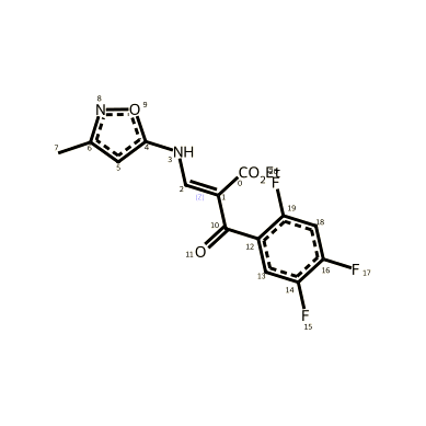 CCOC(=O)/C(=C\Nc1cc(C)no1)C(=O)c1cc(F)c(F)cc1F